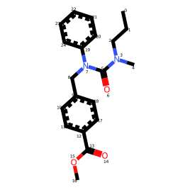 CCCN(C)C(=O)N(Cc1ccc(C(=O)OC)cc1)c1ccccc1